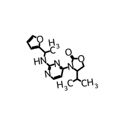 CC(Nc1nccc(N2C(=O)OCC2C(C)C)n1)c1ccco1